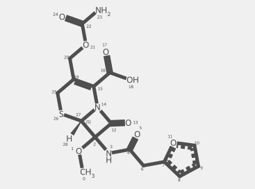 COC1(NC(=O)Cc2ccco2)C(=O)N2C(C(=O)O)=C(COC(N)=O)CS[C@H]21